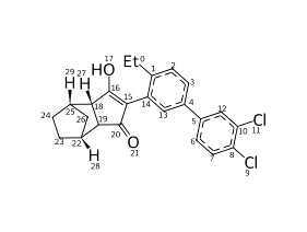 CCc1ccc(-c2ccc(Cl)c(Cl)c2)cc1C1=C(O)[C@@H]2C(C1=O)[C@@H]1CC[C@H]2C1